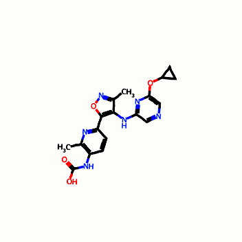 Cc1nc(-c2onc(C)c2Nc2cncc(OC3CC3)n2)ccc1NC(=O)O